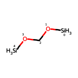 [SiH3]OCO[SiH3]